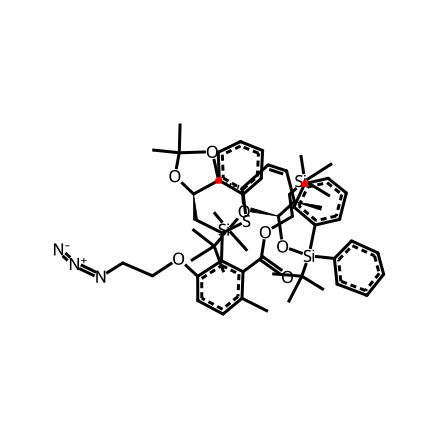 Cc1ccc(OCCN=[N+]=[N-])c(C(C[C@H]2OC(C)(C)O[C@@H]2C(/C=C\[C@@H](C)[C@H](C)O[Si](c2ccccc2)(c2ccccc2)C(C)(C)C)O[Si](C)(C)C(C)(C)C)Sc2ccccc2)c1C(=O)OCC[Si](C)(C)C